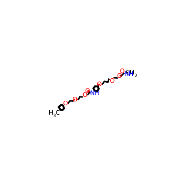 CNC(=O)COCCOCCCCOc1ccc(NC(=O)COCCCOCCCOc2ccc(C)cc2)cc1